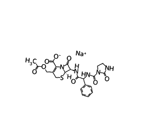 CC(=O)OCC1=C(C(=O)[O-])N2C(=O)[C@@H](NC(=O)C(NC(=O)N3CCNC3=O)c3ccccc3)[C@H]2SC1.[Na+]